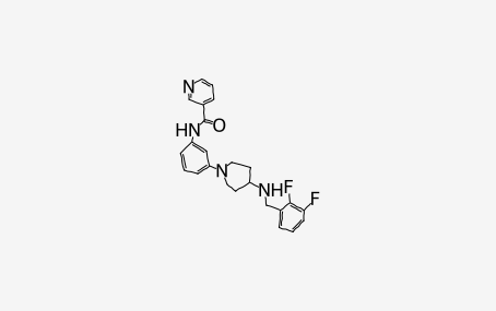 O=C(Nc1cccc(N2CCC(NCc3cccc(F)c3F)CC2)c1)c1cccnc1